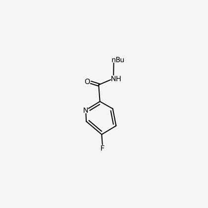 CCCCNC(=O)c1ccc(F)cn1